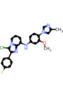 COc1cc(Nc2cccn3c(Cl)c(-c4ccc(F)cc4)nc23)ccc1-n1cnc(C)c1